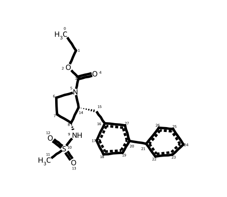 CCOC(=O)N1CC[C@@H](NS(C)(=O)=O)[C@H]1Cc1cccc(-c2ccccc2)c1